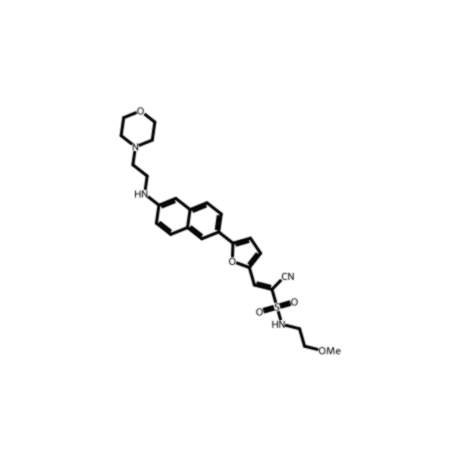 COCCNS(=O)(=O)/C(C#N)=C/c1ccc(-c2ccc3cc(NCCN4CCOCC4)ccc3c2)o1